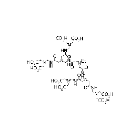 CCN(CC(=O)NCN(CC(=O)NCN(CC(=O)O)CC(=O)O)CC(=O)NCN(CC(=O)O)CC(=O)O)CC(=O)NCN(CC(=O)NCN(CC(=O)O)CC(=O)O)CC(=O)NCN(CC(=O)O)CC(=O)O